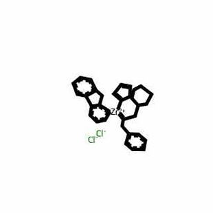 C1=CC[C](/[Zr+2](=[C](/Cc2ccccc2)CC2CCCCC2)[c]2cccc3c2Cc2ccccc2-3)=C1.[Cl-].[Cl-]